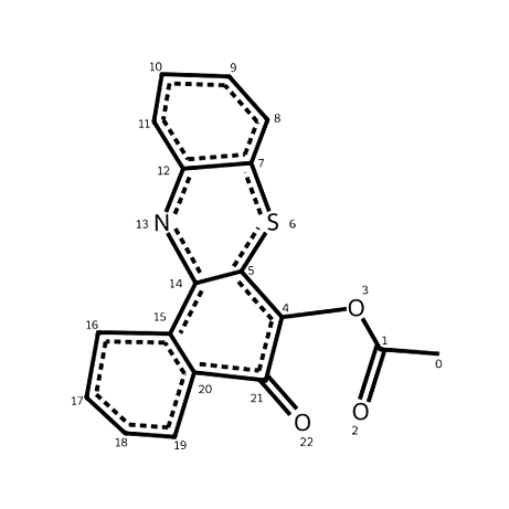 CC(=O)Oc1c2sc3ccccc3nc-2c2ccccc2c1=O